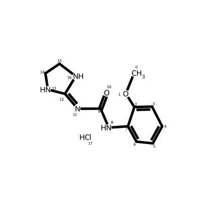 COc1ccccc1NC(=O)N=C1NCCN1.Cl